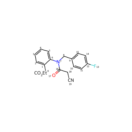 CCOC(=O)c1ccccc1N(Cc1ccc(F)cc1)C(=O)CC#N